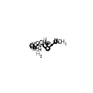 Cc1nn2cccnc2c1C(=O)NC(C)c1cc2cccc(C#Cc3cnn(C)c3)c2c(=O)[nH]1